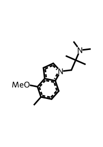 COc1c(C)ccc2c1ccn2CC(C)(C)N(C)C